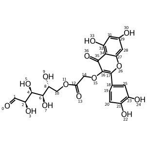 O=C[C@H](O)[C@@H](O)[C@H](O)[C@H](O)COC(=O)COc1c(-c2ccc(O)c(O)c2)oc2cc(O)cc(O)c2c1=O